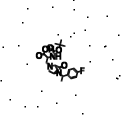 CC(c1ccc(F)cc1)N1C(=O)C2CC1CN2CC(NC(=O)OC(C)(C)C)C(=O)O